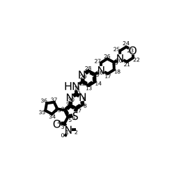 CN(C)C(=O)c1sc2cnc(Nc3ccc(N4CCC(N5CCOCC5)CC4)cn3)nc2c1C1CCCC1